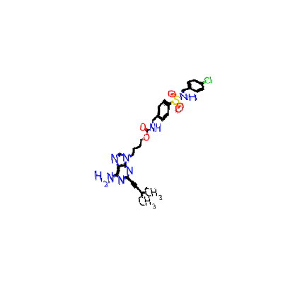 CC(C)C#Cc1nc(N)c2ncn(CCCCOC(=O)NCc3ccc(S(=O)(=O)NCc4ccc(Cl)cc4)cc3)c2n1